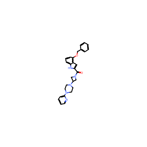 O=C(c1cc2c(OCc3ccccc3)cccc2[nH]1)N1CC(N2CCN(c3ccccn3)CC2)C1